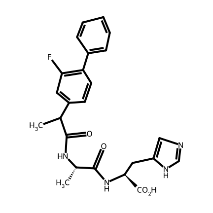 CC(C(=O)N[C@@H](C)C(=O)N[C@@H](Cc1cnc[nH]1)C(=O)O)c1ccc(-c2ccccc2)c(F)c1